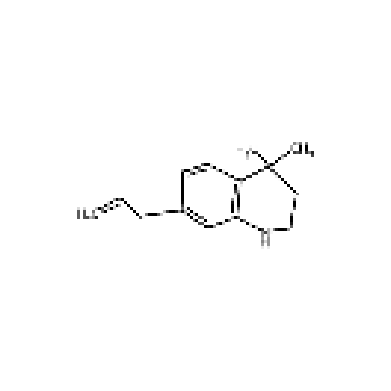 C=CCc1ccc2c(c1)NCCC2(C)C